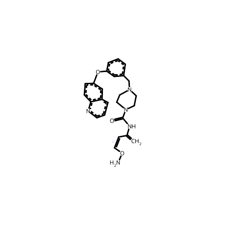 C=C(/C=C\ON)NC(=O)N1CCN(Cc2cccc(Oc3ccc4ncccc4c3)c2)CC1